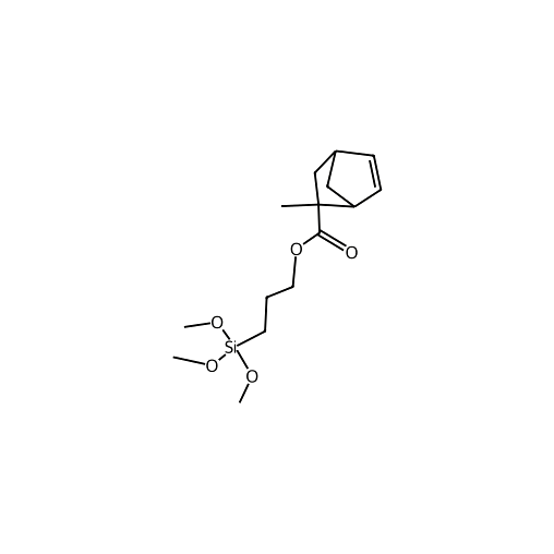 CO[Si](CCCOC(=O)C1(C)CC2C=CC1C2)(OC)OC